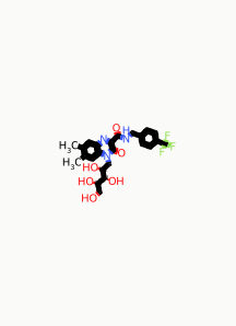 Cc1cc2nc(C(=O)NCc3ccc(C(F)(F)F)cc3)c(=O)n(C[C@H](O)[C@H](O)[C@H](O)CO)c2cc1C